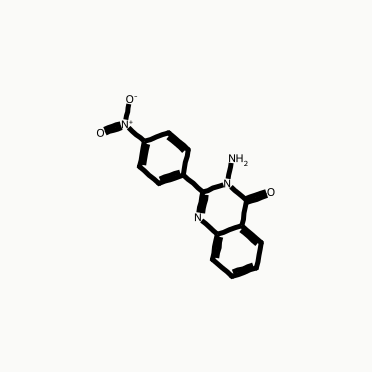 Nn1c(-c2ccc([N+](=O)[O-])cc2)nc2ccccc2c1=O